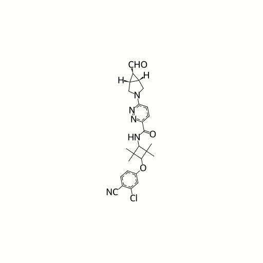 CC1(C)C(NC(=O)c2ccc(N3C[C@@H]4[C@@H](C=O)[C@@H]4C3)nn2)C(C)(C)C1Oc1ccc(C#N)c(Cl)c1